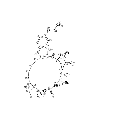 CC[C@@H]1[C@@H]2CN(C(=O)[C@H](C(C)(C)C)NC(=O)O[C@]3(C)CCC[C@H]3CCCCCc3nc4ccc(OCC(F)(F)F)cc4nc3O2)[C@@H]1C(C)=O